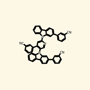 N#Cc1cccc(-c2ccc3c4ccccc4n(-c4cc(-c5cccc(C#N)c5)c(-n5c6ccccc6c6ccc(-c7cccc(C#N)c7)cc65)cn4)c3c2)c1